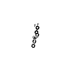 O=C(CN1CCc2cc(-c3ccc(F)c(F)c3)ccc2C1)N1CCN(C2CCCCC2)CC1